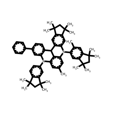 Cc1cc2c3c(c1)N(c1cc4c(cc1C)C(C)(C)CC4(C)C)c1cc4c(cc1C3c1ccc(-c3ccccc3)cc1N2c1ccc2c(c1)C(C)(C)CC2(C)C)C(C)(C)CC4(C)C